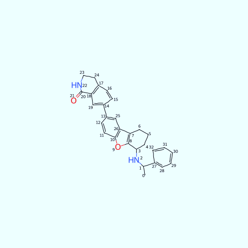 CC(NC1CCCc2c1oc1ccc(-c3ccc4c(c3)C(=O)NCC4)cc21)c1ccccc1